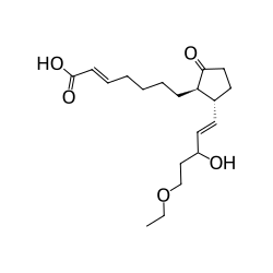 CCOCCC(O)/C=C/[C@H]1CCC(=O)[C@@H]1CCCC/C=C/C(=O)O